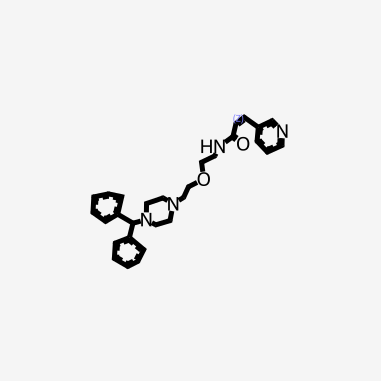 O=C(/C=C\c1cccnc1)NCCOCCN1CCN(C(c2ccccc2)c2ccccc2)CC1